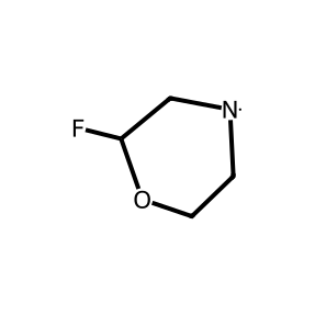 FC1C[N]CCO1